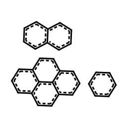 c1cc2ccc3cccc4ccc(c1)c2c34.c1ccc2ccccc2c1.c1ccccc1